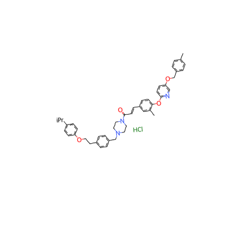 Cc1ccc(COc2ccc(Oc3ccc(/C=C/C(=O)N4CCN(Cc5ccc(CCOc6ccc(C(C)C)cc6)cc5)CC4)cc3C)nc2)cc1.Cl